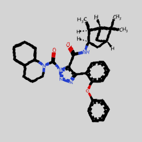 C[C@H]1[C@H]2C[C@@H](C[C@H]1NC(=O)c1c(-c3ccccc3Oc3ccccc3)nnn1C(=O)N1CCCC3CCCCC31)C2(C)C